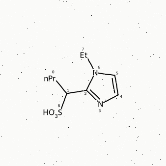 CCCC(c1nccn1CC)S(=O)(=O)O